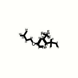 CCC(C)(C)c1ncc(OCCC(C)C)cc1C(F)(F)F